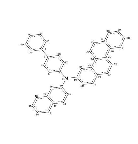 c1ccc(-c2ccc(N(c3ccc4ccccc4c3)c3ccc4ccc5c6ccccc6ccc5c4c3)cc2)cc1